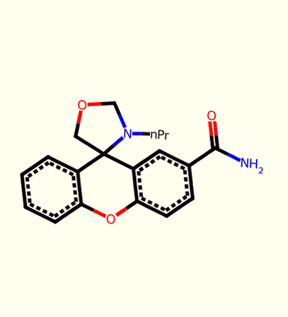 CCCN1COCC12c1ccccc1Oc1ccc(C(N)=O)cc12